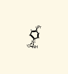 CC(C)c1ccc(-n2[nH]o2)cc1